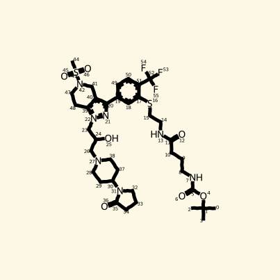 CC(C)(C)OC(=O)NCCCC(=O)NCCSc1cc(-c2nn(CC(O)CN3CCC(N4CCCC4=O)CC3)c3c2CN(S(C)(=O)=O)CC3)ccc1C(F)(F)F